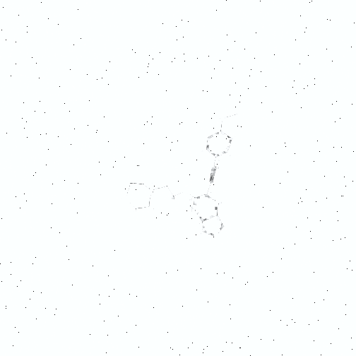 COc1ccc(C#Cc2nc3cscc3nc2OCCN2CCOCC2)cc1